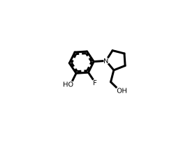 OCC1CCCN1c1cccc(O)c1F